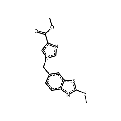 COC(=O)c1cn(Cc2ccc3nc(SC)sc3c2)cn1